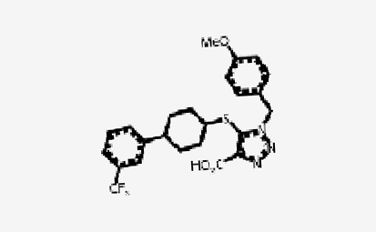 COc1ccc(Cn2nnc(C(=O)O)c2SC2CCC(c3cccc(C(F)(F)F)c3)CC2)cc1